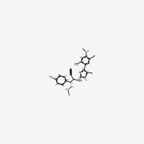 C#CC(Nc1nc(-c2cc(C)c(OC)cc2Cl)c(C)s1)[C@H](COC)c1ccc(F)cc1